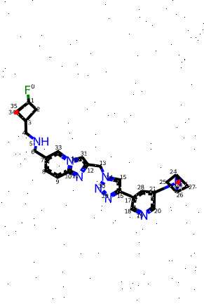 FC12CC(CNCc3ccc4nc(Cn5cc(-c6cncc(N7CC8CC7C8)c6)nn5)cn4c3)(C1)C2